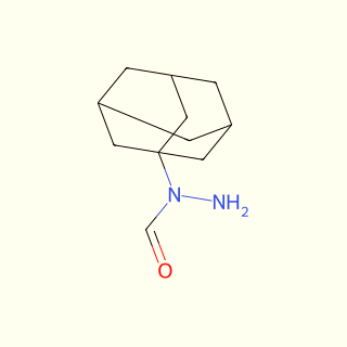 NN(C=O)C12CC3CC(CC(C3)C1)C2